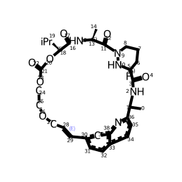 CC1NC(=O)[C@@H]2CCCN(N2)C(=O)[C@H](C)NC(=O)[C@H](C(C)C)OC(=O)OCCOC/C=C/c2ccc3ccc1nc3c2